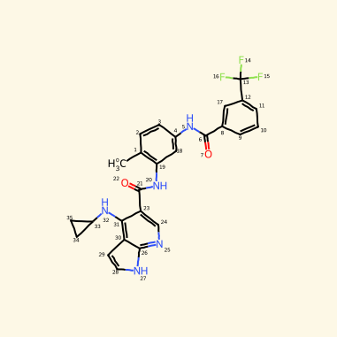 Cc1ccc(NC(=O)c2cccc(C(F)(F)F)c2)cc1NC(=O)c1cnc2[nH]ccc2c1NC1CC1